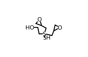 OCCS(S)(CC1CO1)CC1CO1